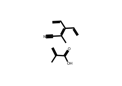 C=C(C)C(=O)O.C=CC(C=C)=C(C)C#N